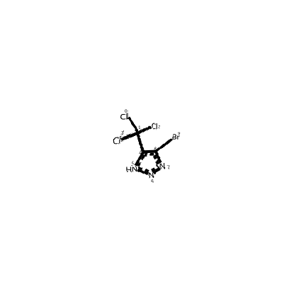 ClC(Cl)(Cl)c1[nH]nnc1Br